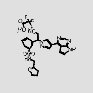 N#CCC(c1cccc(S(=O)(=O)NCC2CCCO2)c1)n1cc(-c2ncnc3[nH]ccc23)cn1.O=C(O)C(F)(F)F